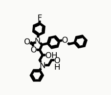 O=C1OC(C(O)CN(CCO)c2ccccc2)C(c2ccc(OCc3ccccc3)cc2)N1c1ccc(F)cc1